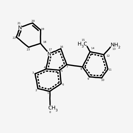 Cc1ccc2c(c1)c(-c1cccc(N)c1C)cn2C1C=CN=CC1